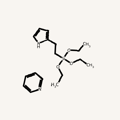 CCO[Si](CCc1ccc[nH]1)(OCC)OCC.c1ccncc1